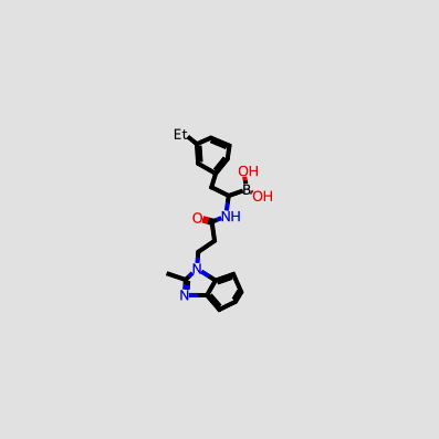 CCc1cccc(CC(NC(=O)CCn2c(C)nc3ccccc32)B(O)O)c1